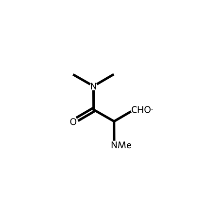 CNC([C]=O)C(=O)N(C)C